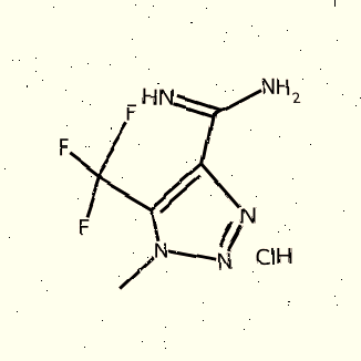 Cl.Cn1nnc(C(=N)N)c1C(F)(F)F